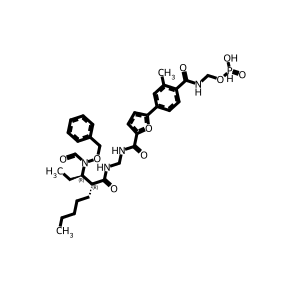 CCCCC[C@@H](C(=O)NCNC(=O)c1ccc(-c2ccc(C(=O)NCO[PH](=O)O)c(C)c2)o1)[C@@H](CC)N(C=O)OCc1ccccc1